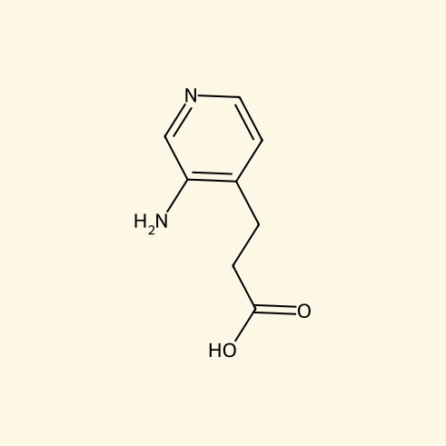 Nc1cnccc1CCC(=O)O